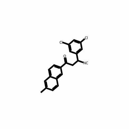 [C-]#[N+]C(CC(=O)c1ccc2cc(C)ccc2c1)c1cc(Cl)cc(Cl)c1